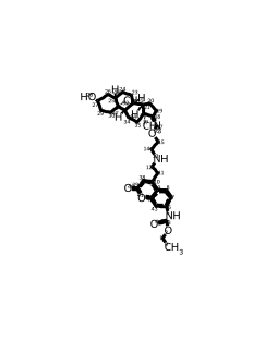 CCOC(=O)Nc1ccc2c(CCNCCO/N=C3/CC[C@H]4[C@@H]5CC[C@H]6CC(O)CC[C@]6(C)[C@H]5CC[C@]34C)cc(=O)oc2c1